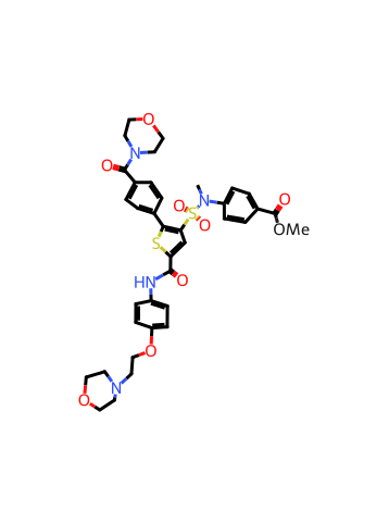 COC(=O)c1ccc(N(C)S(=O)(=O)c2cc(C(=O)Nc3ccc(OCCN4CCOCC4)cc3)sc2-c2ccc(C(=O)N3CCOCC3)cc2)cc1